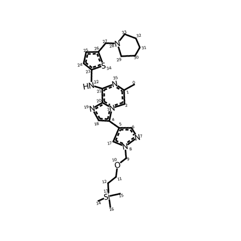 Cc1cn2c(-c3cnn(COCC[Si](C)(C)C)c3)cnc2c(Nc2ccc(CN3CCCCC3)s2)n1